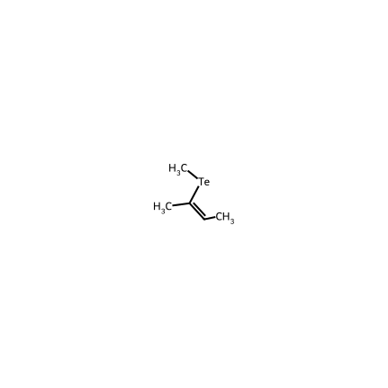 CC=C(C)[Te]C